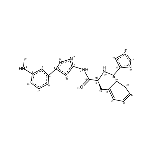 CNc1cc(-c2nnc(NC(=O)[C@H](CC3=CC=CCC3)NCc3cscn3)s2)ccn1